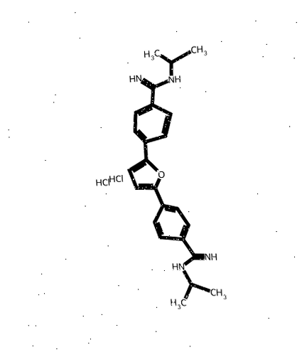 CC(C)NC(=N)c1ccc(-c2ccc(-c3ccc(C(=N)NC(C)C)cc3)o2)cc1.Cl.Cl